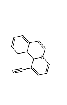 N#CC1=CC=CN2C=CC3=CC=CCC3C12